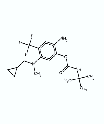 CN(CC1CC1)c1cc(OC(=O)NC(C)(C)C)c(N)cc1C(F)(F)F